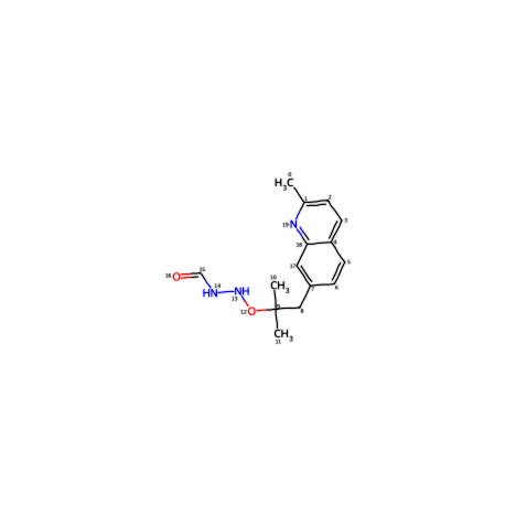 Cc1ccc2ccc(CC(C)(C)ONNC=O)cc2n1